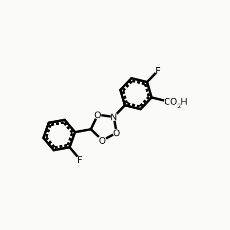 O=C(O)c1cc(N2OOC(c3ccccc3F)O2)ccc1F